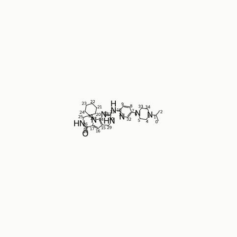 CC(C)N1CCN(c2ccc(NC3=Nc4c(cc5n4C4(CCCCC4)CNC5=O)CN3)nc2)CC1